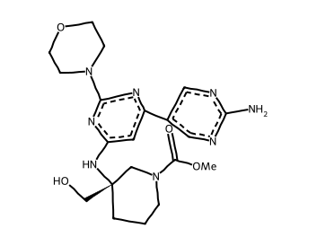 COC(=O)N1CCC[C@](CO)(Nc2cc(-c3cnc(N)nc3)nc(N3CCOCC3)n2)C1